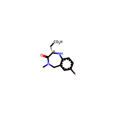 CN1Cc2cc(I)ccc2N[C@@H](CC(=O)O)C1=O